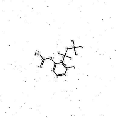 Cc1cccc(OC(=O)O)c1C(C)(C)CC(C)(C)C